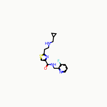 O=C(NCc1ncccc1F)c1csc(CCNCC2CC2)n1